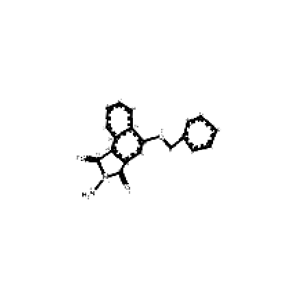 NN1C(=O)c2cc(OCc3ccccc3)c3ccccc3c2C1=O